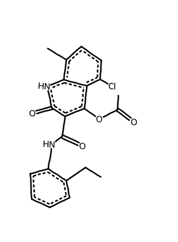 CCc1ccccc1NC(=O)c1c(OC(C)=O)c2c(Cl)ccc(C)c2[nH]c1=O